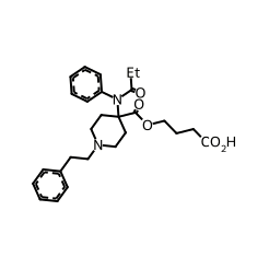 CCC(=O)N(c1ccccc1)C1(C(=O)OCCCC(=O)O)CCN(CCc2ccccc2)CC1